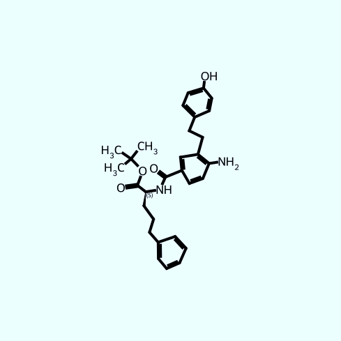 CC(C)(C)OC(=O)[C@H](CCCc1ccccc1)NC(=O)c1ccc(N)c(CCc2ccc(O)cc2)c1